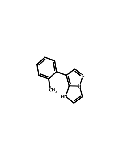 Cc1ccccc1-c1cnn2cc[nH]c12